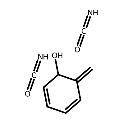 C=C1C=CC=CC1O.N=C=O.N=C=O